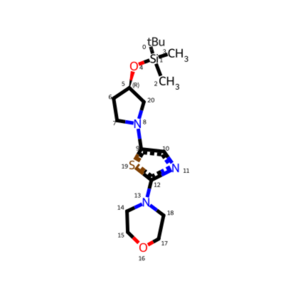 CC(C)(C)[Si](C)(C)O[C@@H]1CCN(c2cnc(N3CCOCC3)s2)C1